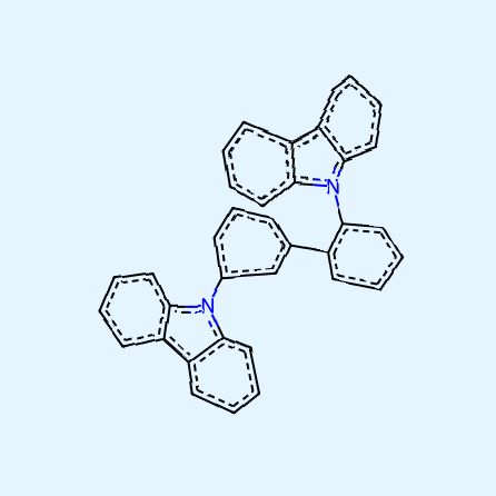 c1cc(-c2ccccc2-n2c3ccccc3c3ccccc32)cc(-n2c3ccccc3c3ccccc32)c1